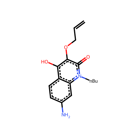 C=CCOc1c(O)c2ccc(N)cc2n(CCCC)c1=O